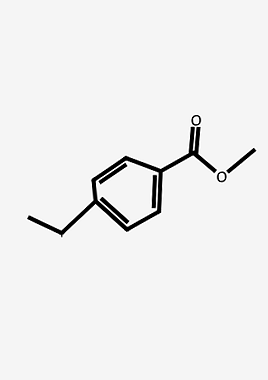 C[CH]c1ccc(C(=O)OC)cc1